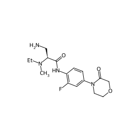 CCN(C)[C@@H](CN)C(=O)Nc1ccc(N2CCOCC2=O)cc1F